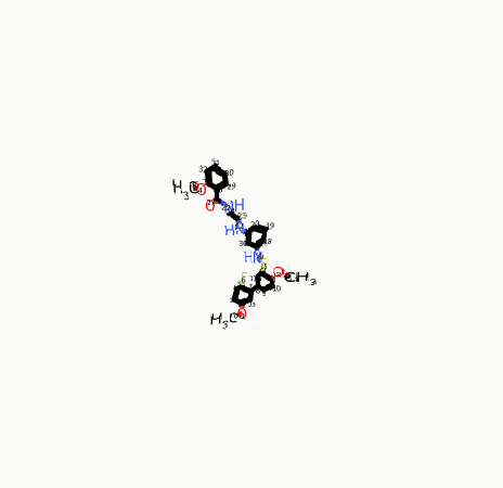 COc1ccc(F)c(-c2ccc(OC)c(SNc3cccc(NCCNC(=O)c4ccccc4OC)c3)c2)c1